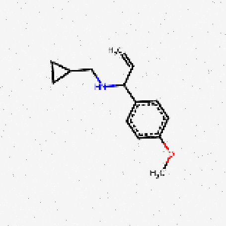 C=CC(NCC1CC1)c1ccc(OC)cc1